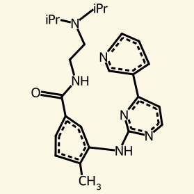 Cc1ccc(C(=O)NCCN(C(C)C)C(C)C)cc1Nc1nccc(-c2cccnc2)n1